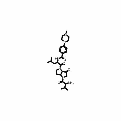 CC(C)CC(NC(=O)c1ccc(N2CCN(C)CC2)cc1)C(=O)N1CCC2C1C(=O)CN2C(=O)C(N)C(C)C